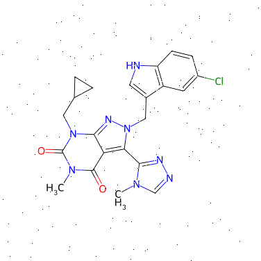 Cn1cnnc1-c1c2c(=O)n(C)c(=O)n(CC3CC3)c2nn1Cc1c[nH]c2ccc(Cl)cc12